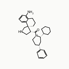 Nc1cccc2c1CCC[C@]21CNC[C@H]1C(=O)N1CC[C@@H](c2ccccc2)C[C@H]1C1CCCCC1